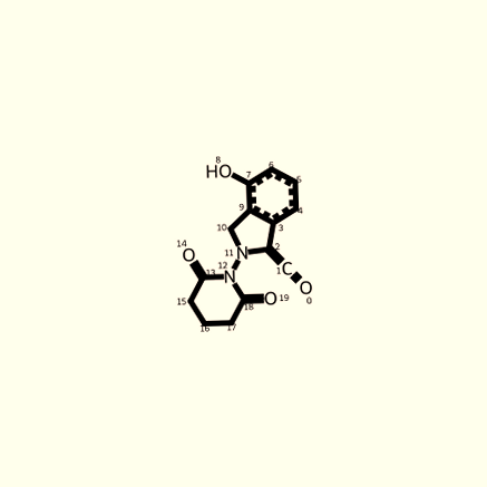 O=C=C1c2cccc(O)c2CN1N1C(=O)CCCC1=O